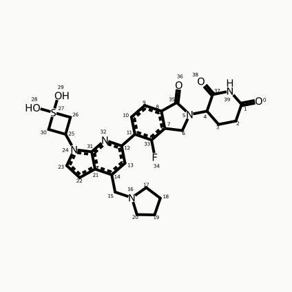 O=C1CCC(N2Cc3c(ccc(-c4cc(CN5CCCC5)c5ccn(C6CS(O)(O)C6)c5n4)c3F)C2=O)C(=O)N1